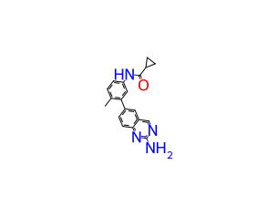 Cc1ccc(NC(=O)C2CC2)cc1-c1ccc2nc(N)ncc2c1